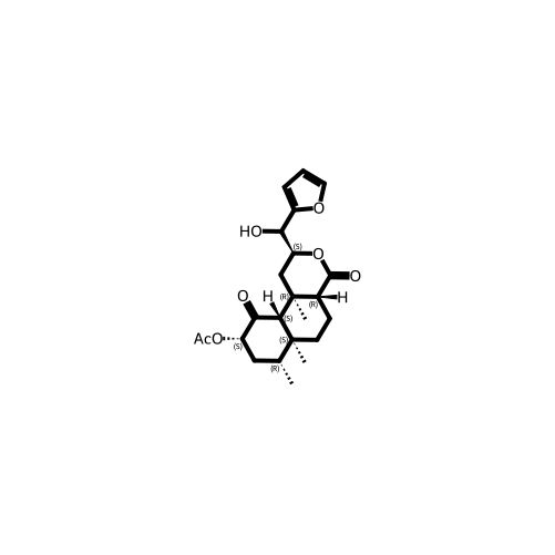 CC(=O)O[C@H]1C[C@@H](C)[C@]2(C)CC[C@H]3C(=O)O[C@H](C(O)c4ccco4)C[C@]3(C)[C@H]2C1=O